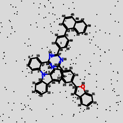 c1ccc(-n2c3ccccc3c3ccccc32)c(-c2nc(-c3ccc(-c4cc5ccccc5o4)cc3)nc(-c3ccc(-c4cccc5ccccc45)cc3)n2)c1